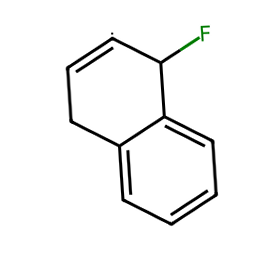 FC1[C]=CCc2ccccc21